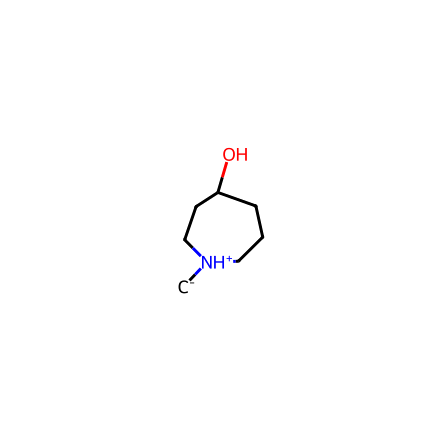 [CH2-][NH+]1CCCC(O)CC1